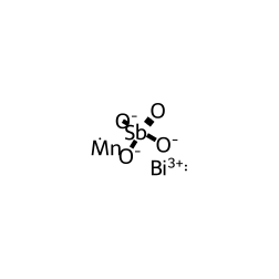 [Bi+3].[Mn].[O]=[Sb]([O-])([O-])[O-]